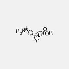 CC(C)CC(c1ccc([C@H](C)N)cc1)N1CCN(C(=O)O)CC1